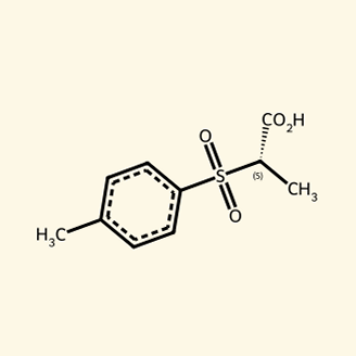 Cc1ccc(S(=O)(=O)[C@@H](C)C(=O)O)cc1